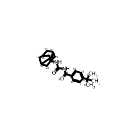 CC(C)(C)c1ccc(C(=O)NC(=O)NC23CC4CC(CC(C4)C2)C3)cc1